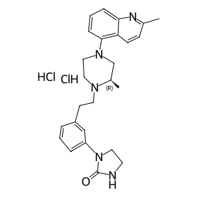 Cc1ccc2c(N3CCN(CCc4cccc(N5CCNC5=O)c4)[C@H](C)C3)cccc2n1.Cl.Cl